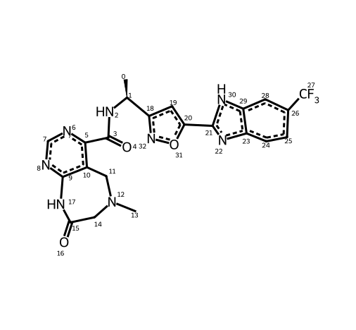 C[C@H](NC(=O)c1ncnc2c1CN(C)CC(=O)N2)c1cc(-c2nc3ccc(C(F)(F)F)cc3[nH]2)on1